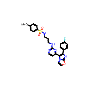 COc1ccc(S(=O)(=O)NCCCNc2nccc(-c3c(-c4ccc(F)cc4)nc4occn34)n2)cc1